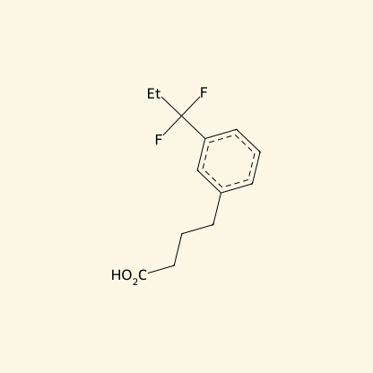 CCC(F)(F)c1cccc(CCCC(=O)O)c1